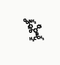 CC(C)COc1cc(C(=O)c2ccc(C(N)OC=O)cn2)cc(-c2ccsc2)c1